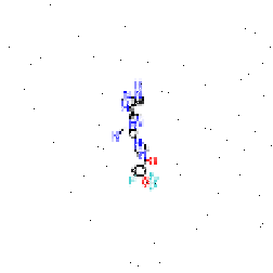 N#CC[C@]1(n2cc(-c3ncnc4[nH]ccc34)cn2)C[C@H](N2CCN(C(=O)c3ccc(F)c(OC(F)(F)F)c3)CC2)C1